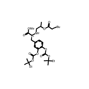 CCC(C)CC(=O)OC(C)CN[C@@H](Cc1ccc(OC(=O)OC(C)(C)CC)c(OC(=O)OC(C)(C)CC)c1)C(=O)OC